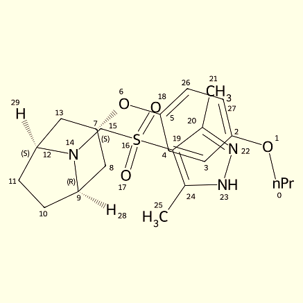 CCCOc1ccc(O[C@@H]2C[C@H]3CC[C@@H](C2)N3CS(=O)(=O)c2c(C)n[nH]c2C)cc1